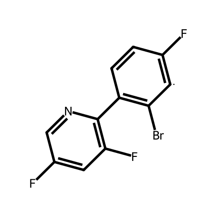 Fc1[c]c(Br)c(-c2ncc(F)cc2F)cc1